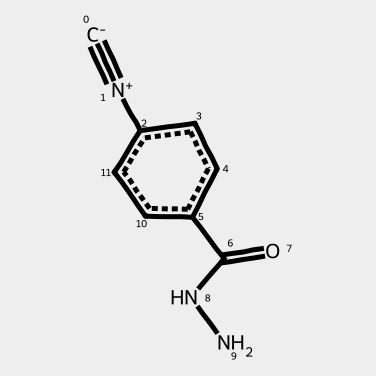 [C-]#[N+]c1ccc(C(=O)NN)cc1